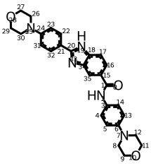 O=C(Nc1ccc(N2CCOCC2)cc1)c1ccc2[nH]c(-c3ccc(N4CCOCC4)cc3)nc2c1